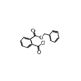 O=C(Cl)c1ccccc1C(=O)OCc1ccccc1